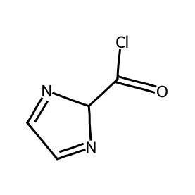 O=C(Cl)C1N=CC=N1